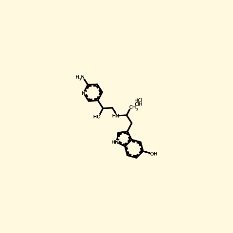 CC(Cc1c[nH]c2ccc(O)cc12)NCC(O)c1ccc(N)nc1.Cl.Cl